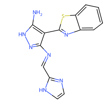 Nc1[nH]nc(/N=C/c2ncc[nH]2)c1-c1nc2ccccc2s1